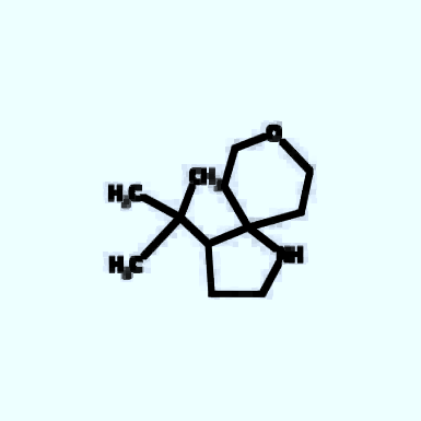 CC(C)(C)C1CCNC12CCOCC2